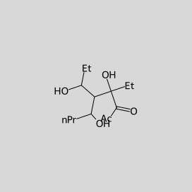 CCCC(O)C(C(O)CC)C(O)(CC)C(=O)C(C)=O